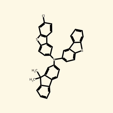 CC1(C)c2ccccc2-c2ccc(N(c3ccc4sc5ccccc5c4c3)c3ccc4sc5cc(Cl)ccc5c4c3)cc21